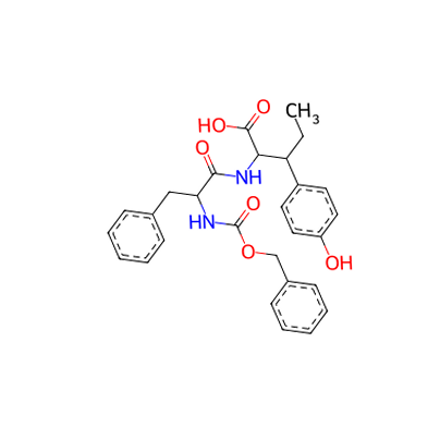 CCC(c1ccc(O)cc1)C(NC(=O)C(Cc1ccccc1)NC(=O)OCc1ccccc1)C(=O)O